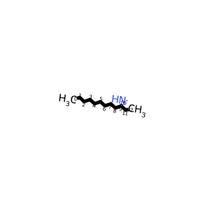 CCCCCCCCCC([NH])CC